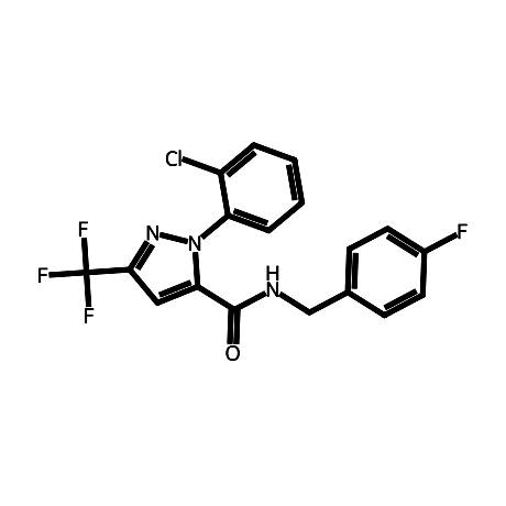 O=C(NCc1ccc(F)cc1)c1cc(C(F)(F)F)nn1-c1ccccc1Cl